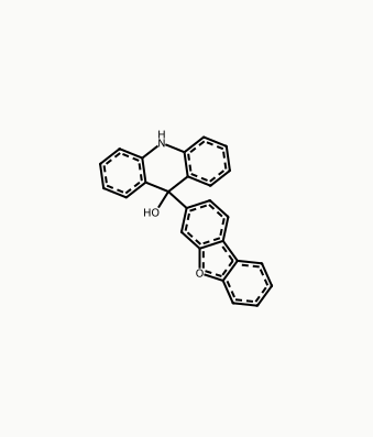 OC1(c2ccc3c(c2)oc2ccccc23)c2ccccc2Nc2ccccc21